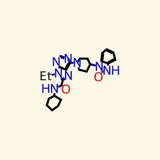 CCn1c(C(=O)NC2CCCCC2)nc2c(N3CCC(n4c(=O)[nH]c5ccccc54)CC3)ncnc21